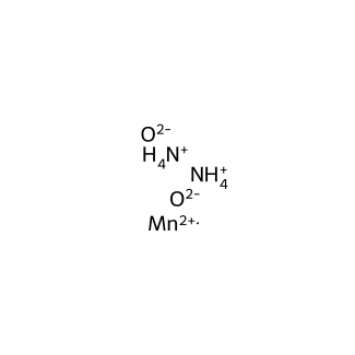 [Mn+2].[NH4+].[NH4+].[O-2].[O-2]